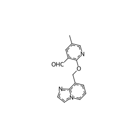 Cc1cnc(OCc2cccn3ccnc23)c(C=O)c1